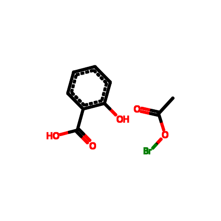 CC(=O)OBr.O=C(O)c1ccccc1O